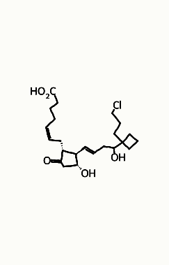 O=C(O)CCC/C=C\C[C@H]1C(=O)C[C@@H](O)[C@@H]1/C=C/CC(O)C1(CCCCl)CCC1